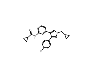 O=C(Nc1cc(-c2cn(CC3CC3)nc2-c2ccc(F)cc2)ccn1)C1CC1